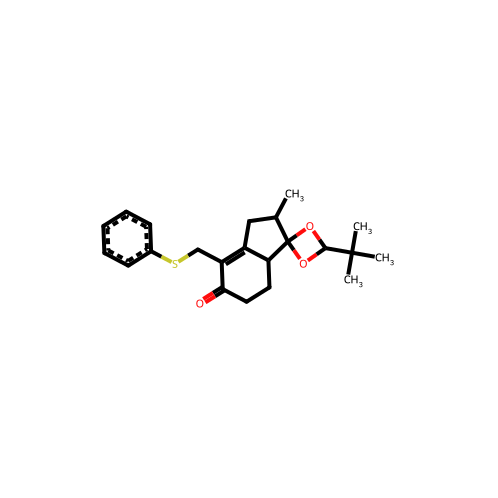 CC1CC2=C(CSc3ccccc3)C(=O)CCC2C12OC(C(C)(C)C)O2